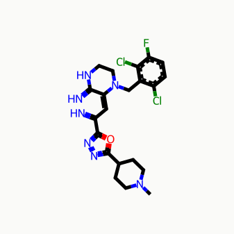 CN1CCC(c2nnc(C(=N)/C=C3\C(=N)NCCN3Cc3c(Cl)ccc(F)c3Cl)o2)CC1